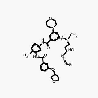 CCN=C=NCCCN(C)C.Cc1ccc(NC(=O)c2cccc(N3CCOCC3)c2)cc1NC(=O)c1cccc(OC2CCOC2)c1.Cl